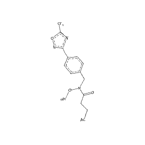 CCCON(Cc1ccc(-c2noc(C(F)(F)F)n2)cc1)C(=O)CCC(C)=O